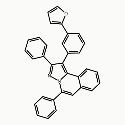 c1ccc(-c2nn3c(-c4ccccc4)cc4ccccc4c3c2-c2cccc(-c3ccco3)c2)cc1